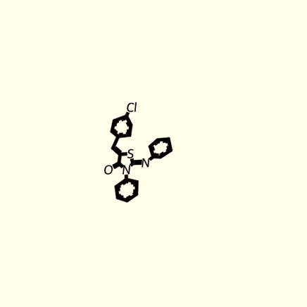 O=C1/C(=C/c2ccc(Cl)cc2)S/C(=N\c2ccccc2)N1c1ccccc1